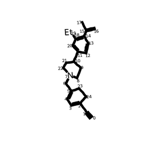 C#CC1=CC=C(CN2CCC(c3ccc(C(=C)C)c(CC)c3)CC2)CC1